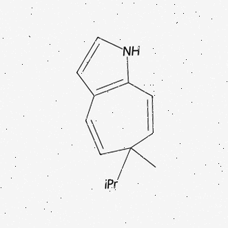 CC(C)C1(C)C=Cc2cc[nH]c2C=C1